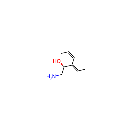 C/C=C\C(=C/C)[C@H](O)CN